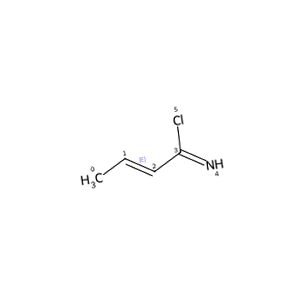 C/C=C/C(=N)Cl